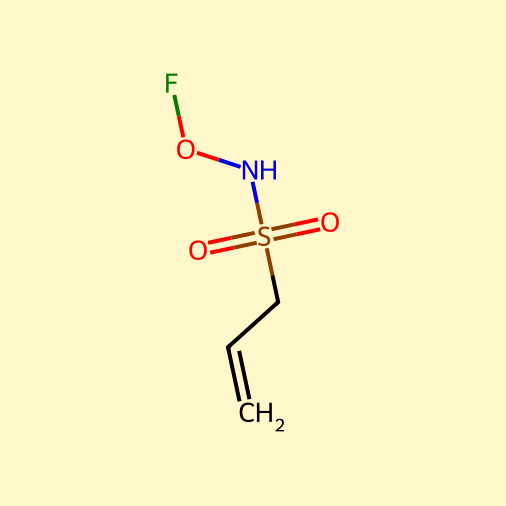 C=CCS(=O)(=O)NOF